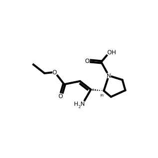 CCOC(=O)C=C(N)[C@H]1CCCN1C(=O)O